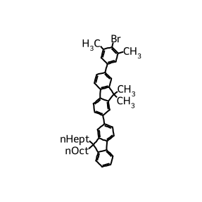 CCCCCCCCC1(CCCCCCC)c2ccccc2-c2ccc(-c3ccc4c(c3)C(C)(C)c3cc(-c5cc(C)c(Br)c(C)c5)ccc3-4)cc21